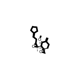 C=C1CC[C@]2(CO2)[C@@H]([C@@]2(C)OC2CC=C2CCCC2)[C@@H]1OC